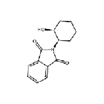 O=C1c2ccccc2C(=O)N1[C@@H]1CCCC[C@@H]1O